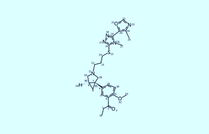 CCC(=O)c1cc([C@@]23C[C@H]2CN(CCCSc2nnc(-c4ocnc4C)n2C)C3)ccc1OC